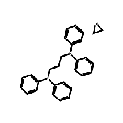 [CH2]1[CH2][Pd]1.c1ccc(P(CCCP(c2ccccc2)c2ccccc2)c2ccccc2)cc1